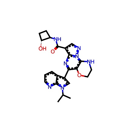 CC(C)n1cc(-c2nc3c(C(=O)NC4CC[C@H]4O)cnn3c3c2OCCN3)c2cccnc21